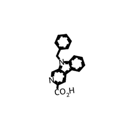 O=C(O)c1cc2c3ccccc3n(Cc3ccccc3)c2cn1